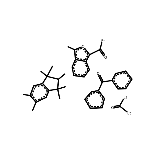 CCC(=O)CC.CCC(=O)c1oc(C)c2ccccc12.O=C(c1ccccc1)c1ccccc1.[CH2]c1cc2c(cc1C)C(C)(C)C(C)C2(C)C